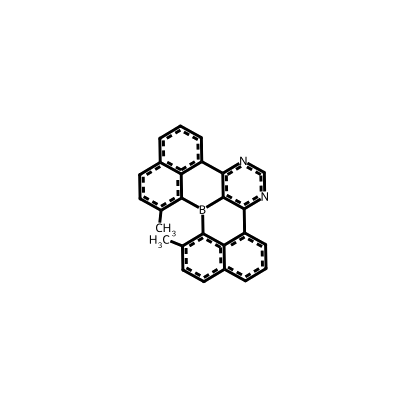 Cc1ccc2cccc3c2c1B1c2c-3ncnc2-c2cccc3ccc(C)c1c23